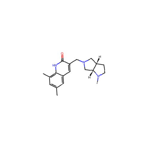 Cc1cc(C)c2[nH]c(=O)c(CN3C[C@@H]4CCN(C)[C@@H]4C3)cc2c1